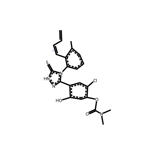 C=C/C=C\c1c(C)cccc1-n1c(-c2cc(Cl)c(OC(=O)N(C)C)cc2O)n[nH]c1=S